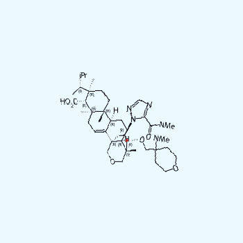 CNC(=O)c1ncnn1[C@@H]1C[C@@]23COC[C@](C)([C@@H]2CC[C@H]2C3=CC[C@@]3(C)[C@H](C(=O)O)[C@@](C)([C@H](C)C(C)C)CC[C@]23C)[C@H]1OCC1(NC)CCOCC1